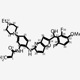 C=CC(=O)Nc1cc(N2CCN(CC)CC2)ccc1Nc1ccc2oc(C(O)c3c(F)ccc(OC)c3F)cc2n1